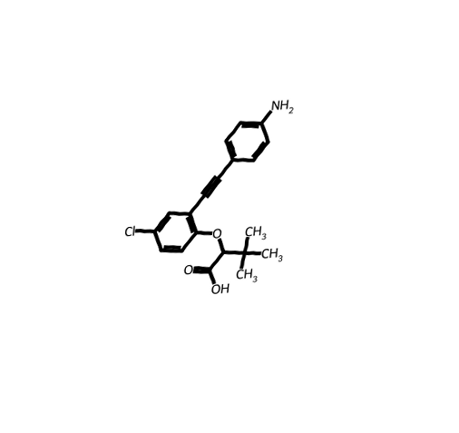 CC(C)(C)C(Oc1ccc(Cl)cc1C#Cc1ccc(N)cc1)C(=O)O